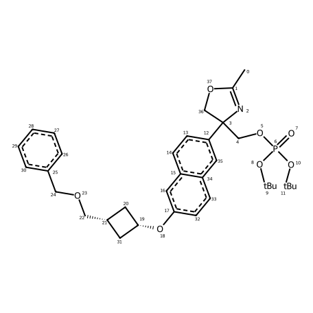 CC1=NC(COP(=O)(OC(C)(C)C)OC(C)(C)C)(c2ccc3cc(O[C@H]4C[C@@H](COCc5ccccc5)C4)ccc3c2)CO1